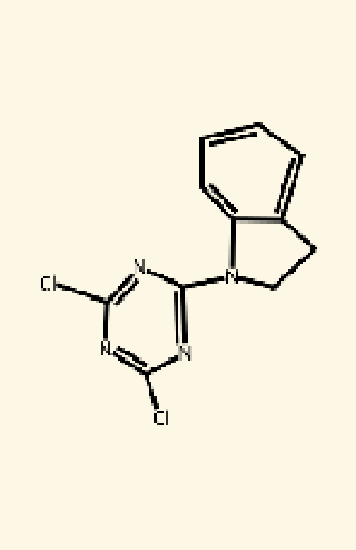 Clc1nc(Cl)nc(N2CCc3ccccc32)n1